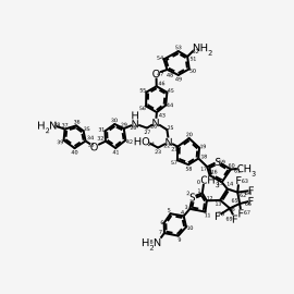 Cc1sc(-c2ccc(N)cc2)cc1C1=C(c2cc(-c3ccc(N(CO)CN(CNc4ccc(Oc5ccc(N)cc5)cc4)c4ccc(Oc5ccc(N)cc5)cc4)cc3)sc2C)C(F)(F)C(F)(F)C1(F)F